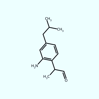 CC(C)Cc1ccc(C(C)C=O)c(N)c1